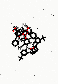 CC(C)(C)c1ccc2c(c1)c1ccccc1n2-c1c(C#N)c(-n2c3ccccc3c3cc(C(C)(C)C)ccc32)c(-n2c3ccccc3c3cc(C(C)(C)C)ccc32)c(-c2ccccc2-n2c3ccncc3c3cnccc32)c1-n1c2ccccc2c2cc(C(C)(C)C)ccc21